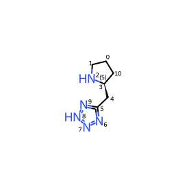 C1CN[C@H](Cc2nn[nH]n2)C1